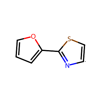 [c]1csc(-c2ccco2)n1